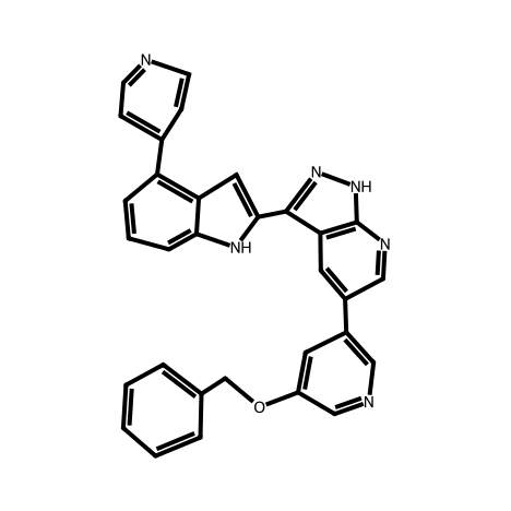 c1ccc(COc2cncc(-c3cnc4[nH]nc(-c5cc6c(-c7ccncc7)cccc6[nH]5)c4c3)c2)cc1